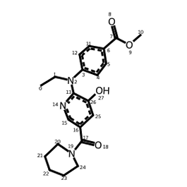 CCN(c1ccc(C(=O)OC)cc1)c1ncc(C(=O)N2CCCCC2)cc1O